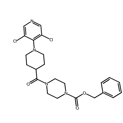 O=C(OCc1ccccc1)N1CCN(C(=O)C2CCN(c3c(Cl)cncc3Cl)CC2)CC1